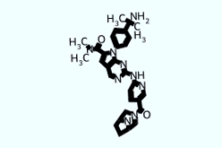 CN(C)C(=O)c1cc2cnc(Nc3ccc(C(=O)N4CC5CCC(C4)N5)cn3)nc2n1-c1ccc(C(C)(C)N)cc1